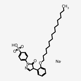 CCCCCCCCCCCCCCCCOc1ccccc1C1C=NN(c2ccc(S(=O)(=O)O)cc2)C1=O.[Na]